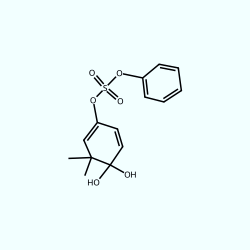 CC1(C)C=C(OS(=O)(=O)Oc2ccccc2)C=CC1(O)O